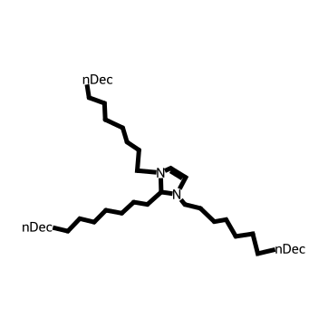 CCCCCCCCCCCCCCCCCC1N(CCCCCCCCCCCCCCCCC)C=CN1CCCCCCCCCCCCCCCCC